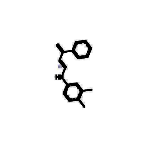 C=C(/C=C/Nc1ccc(C)c(C)c1)c1ccccc1